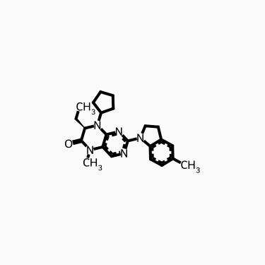 CC[C@@H]1C(=O)N(C)c2cnc(N3CCc4cc(C)ccc43)nc2N1C1CCCC1